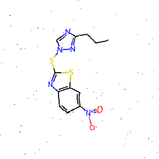 CCCc1ncn(Sc2nc3ccc([N+](=O)[O-])cc3s2)n1